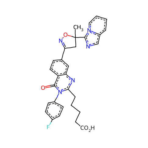 CC1(c2ncc3ccccn23)CC(c2ccc3c(=O)n(-c4ccc(F)cc4)c(CCCCC(=O)O)nc3c2)=NO1